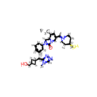 C[C@@H]1CN(Cc2cc(C(F)(F)F)c3cn(-c4cccc([C@H](c5nncn5C)C5CC(CO)C5)c4)c(=O)n3c2)CCC1S